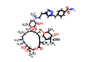 CC[C@H]1OC(=O)[C@H](C)[C@@H](C2C[C@@](C)(OC)[C@@H](O)[C@H](C)O2)[C@H](C)[C@@H](O[C@@H]2O[C@H](C)C[C@H](N(C)CCc3cn(Cc4ccc(S(N)(=O)=O)cc4)nn3)[C@H]2O)[C@](C)(O)C[C@@H](C)CN(C)[C@H](C)[C@@H](O)[C@]1(C)O